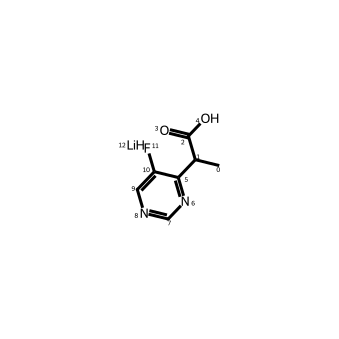 CC(C(=O)O)c1ncncc1F.[LiH]